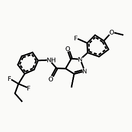 CCC(F)(F)c1cccc(NC(=O)C2C(=O)N(c3ccc(OC)cc3F)N=C2C)c1